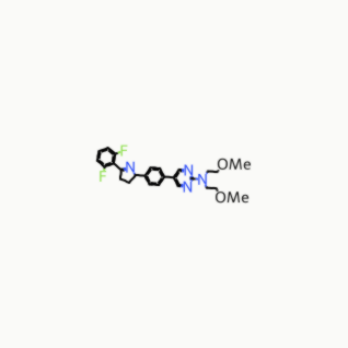 COCCN(CCOC)c1ncc(-c2ccc(C3CCC(c4c(F)cccc4F)=N3)cc2)cn1